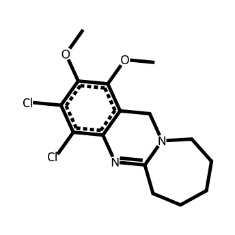 COc1c(Cl)c(Cl)c2c(c1OC)CN1CCCCCC1=N2